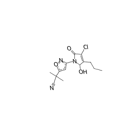 CCCC1=C(Cl)C(=O)N(c2cc(C(C)(C)C#N)on2)C1O